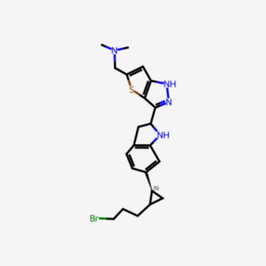 CN(C)Cc1cc2[nH]nc(C3Cc4ccc([C@H]5CC5CCCBr)cc4N3)c2s1